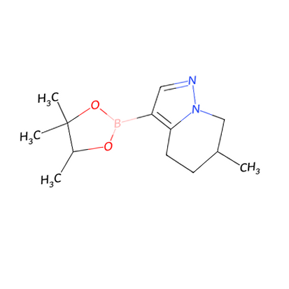 CC1CCc2c(B3OC(C)C(C)(C)O3)cnn2C1